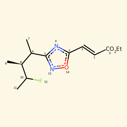 CCOC(=O)/C=C/c1nc(C(C)[C@H](C)C(C)F)no1